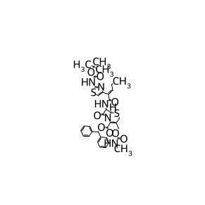 CC/C=C(/C(=O)N[C@@H]1C(=O)N2C(C(=O)OC(c3ccccc3)c3ccccc3)=C(COC(=O)NC)CS[C@H]12)c1csc(NC(=O)OC(C)(C)C)n1